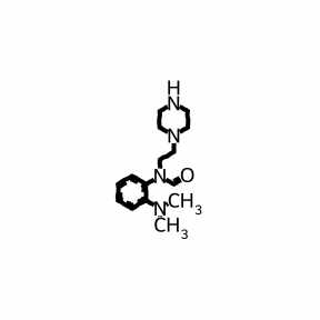 CN(C)c1ccccc1N(C=O)CCN1CCNCC1